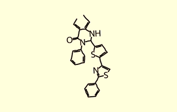 C/C=C1/NC(c2ccc(-c3csc(-c4ccccc4)n3)s2)N(c2ccccc2)C(=O)/C1=C/C